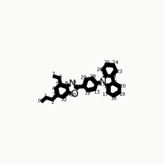 CCCc1cc(CC)c2nc(-c3ccc(-n4c5ccccc5c5ccccc54)cc3)oc2c1